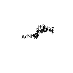 CC(=O)Nc1cc(C(=O)NCc2ccc(OCC(F)F)nc2O)ccn1